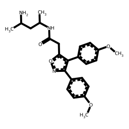 COc1ccc(-c2noc(CC(=O)NC(C)CC(C)N)c2-c2ccc(OC)cc2)cc1